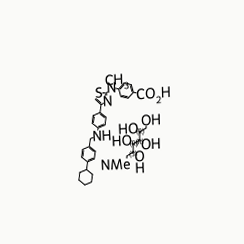 CN(c1ccc(C(=O)O)cc1)c1nc(-c2ccc(NCc3ccc(C4CCCCC4)cc3)cc2)cs1.CNC[C@H](O)[C@@H](O)[C@H](O)[C@H](O)CO